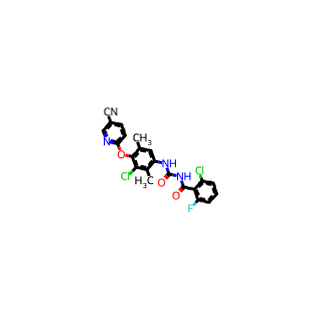 Cc1cc(NC(=O)NC(=O)c2c(F)cccc2Cl)c(C)c(Cl)c1Oc1ccc(C#N)cn1